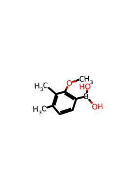 COc1c(B(O)O)ccc(C)c1C